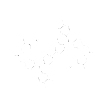 C=C(COC(=O)Cc1ccc(N(c2ccc(C)c(C)c2)c2ccc(-c3ccc(N(c4ccc(CC(=O)OCC(=C)C(=O)OC)cc4)c4ccc(C)c(C)c4)c(C)c3)cc2C)cc1)C(=O)OC